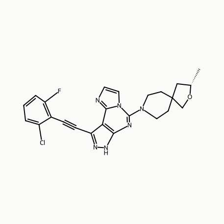 C[C@H]1CC2(CCN(c3nc4[nH]nc(C#Cc5c(F)cccc5Cl)c4c4nccn34)CC2)CO1